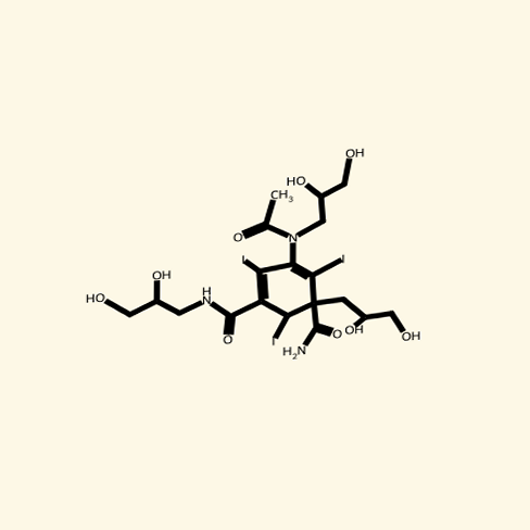 CC(=O)N(CC(O)CO)C1=C(I)C(CC(O)CO)(C(N)=O)C(I)C(C(=O)NCC(O)CO)=C1I